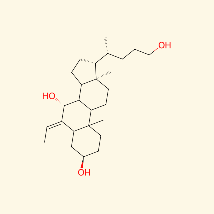 C/C=C1\C2C[C@H](O)CCC2(C)C2CC[C@@]3(C)C(CC[C@@H]3[C@H](C)CCCO)C2[C@H]1O